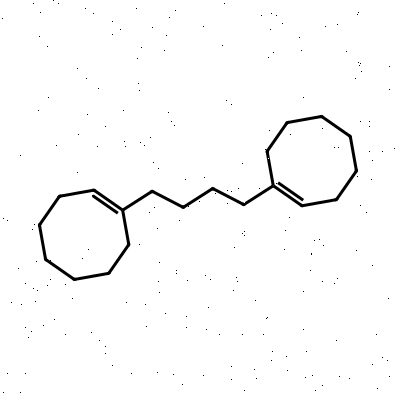 C1=C(CCCCC2=CCCCCCC2)CCCCCC1